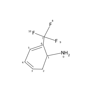 NC1CC=CC=C1C(F)(F)F